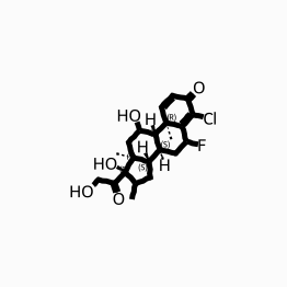 CC1C[C@H]2[C@@H]3CC(F)C4=C(Cl)C(=O)C=C[C@]4(C)[C@H]3C(O)C[C@]2(C)[C@@]1(O)C(=O)CO